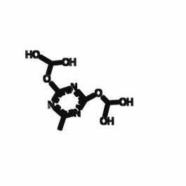 Cc1nc(OC(O)O)nc(OC(O)O)n1